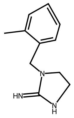 Cc1ccccc1CN1CCNC1=N